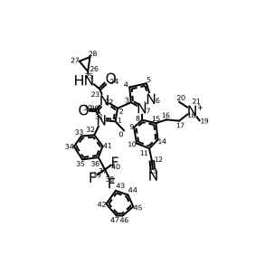 Cc1c(-c2ccnn2-c2ccc(C#N)cc2CC[N+](C)(C)C)n(C(=O)NC2CC2)c(=O)n1-c1cccc(C(F)(F)F)c1.c1ccccc1